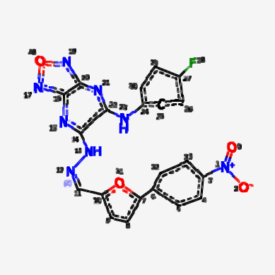 O=[N+]([O-])c1ccc(-c2ccc(/C=N\Nc3nc4nonc4nc3Nc3ccc(F)cc3)o2)cc1